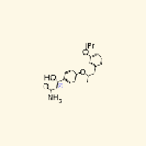 CC(C)Oc1cccc(CC(C)Oc2ccc(/C(O)=C/C(N)=O)cc2)c1